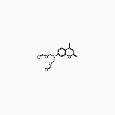 C=C1C=C(C)c2ccc(N(COC=O)COC=O)cc2O1